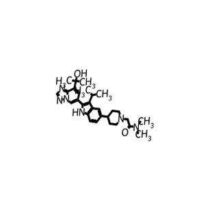 CC(C)c1c(-c2cc(C(C)(C)O)c3ncnn3c2)[nH]c2ccc(C3CCN(CC(=O)N(C)C)CC3)cc12